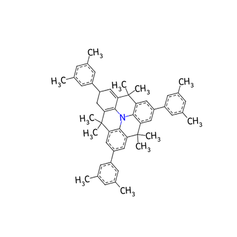 Cc1cc(C)cc(-c2cc3c4c(c2)C(C)(C)c2cc(-c5cc(C)cc(C)c5)cc5c2N4C2=C(CC(c4cc(C)cc(C)c4)C=C2C3(C)C)C5(C)C)c1